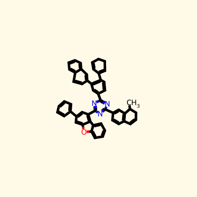 CC1CC=Cc2ccc(-c3nc(-c4ccc(C5=CCCC=C5)c(-c5ccc6ccccc6c5)c4)nc(-c4cc(-c5ccccc5)cc5oc6ccccc6c45)n3)cc21